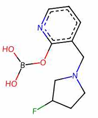 OB(O)Oc1ncccc1CN1CCC(F)C1